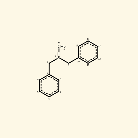 [CH2][SH](Cc1ccccc1)Cc1ccccc1